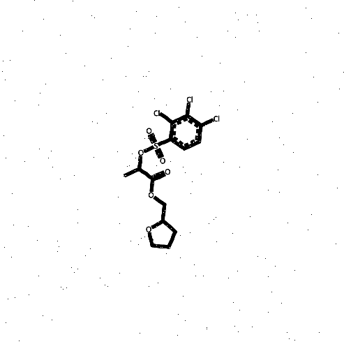 CC(OS(=O)(=O)c1ccc(Cl)c(Cl)c1Cl)C(=O)OCC1CCCO1